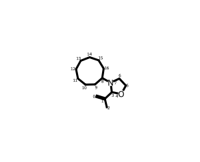 C=C(C)C1OCCN1C1CCCCCCCC1